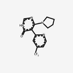 O=c1[nH]cnc(N2CCCC2)c1-c1cc(C(F)(F)F)ccn1